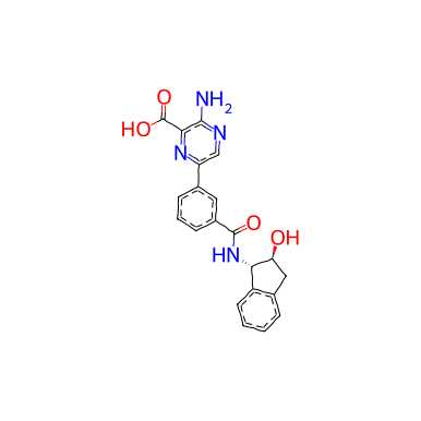 Nc1ncc(-c2cccc(C(=O)N[C@H]3c4ccccc4C[C@@H]3O)c2)nc1C(=O)O